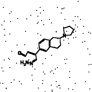 N/N=C\C(=C/C=O)c1ccc2c(c1)CCC(N1CCCC1)C2